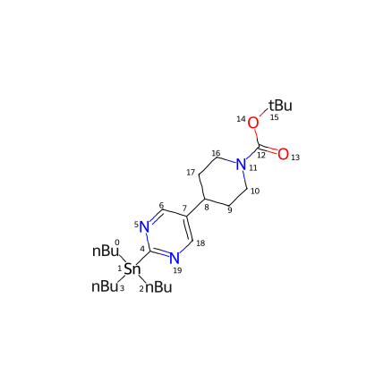 CCC[CH2][Sn]([CH2]CCC)([CH2]CCC)[c]1ncc(C2CCN(C(=O)OC(C)(C)C)CC2)cn1